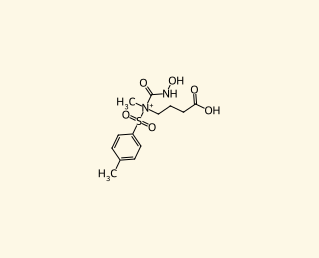 Cc1ccc(S(=O)(=O)[N+](C)(CCCC(=O)O)C(=O)NO)cc1